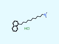 CN(C)CCCCCCCCCCc1cccc2ccccc12.Cl